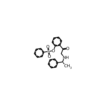 C[C@H](NCC(=O)c1ccccc1OS(=O)(=O)c1ccccc1)c1ccccc1